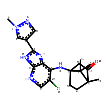 Cn1cc(-c2nc3c(NC45CCC(C)(C(=O)C4)C5(C)C)c(Cl)cnc3[nH]2)cn1